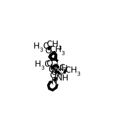 COC(=O)[C@H](Cc1ccc(OC(C)(C)C)cc1)NC(=O)[C@H](CC(C)C)NC(=O)N1CCCCCC1